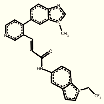 Cn1cnc2ccc(-c3ccncc3C=CC(=O)Nc3ccc4c(ccn4CC(F)(F)F)c3)cc21